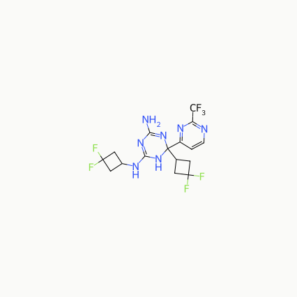 NC1=NC(c2ccnc(C(F)(F)F)n2)(C2CC(F)(F)C2)NC(NC2CC(F)(F)C2)=N1